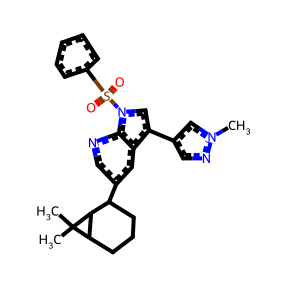 Cn1cc(-c2cn(S(=O)(=O)c3ccccc3)c3ncc(C4CCCC5C4C5(C)C)cc23)cn1